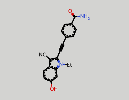 CCn1c(C#Cc2ccc(C(N)=O)cc2)c(C#N)c2ccc(O)cc21